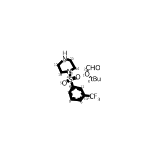 CC(C)(C)OC=O.O=S(=O)(c1cccc(C(F)(F)F)c1)N1CCNCC1